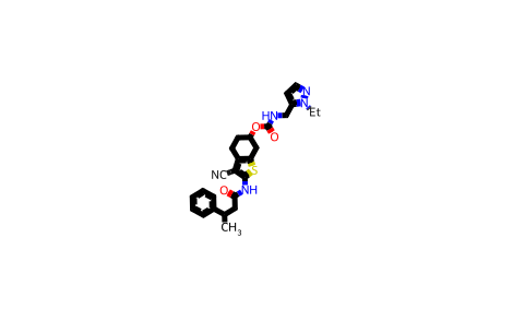 CCn1nccc1CNC(=O)OC1CCc2c(sc(NC(=O)CC(C)c3ccccc3)c2C#N)C1